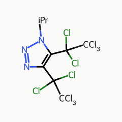 CC(C)n1nnc(C(Cl)(Cl)C(Cl)(Cl)Cl)c1C(Cl)(Cl)C(Cl)(Cl)Cl